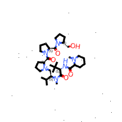 CC(C)[C@@H](CN1CCC[C@H]1C(=O)N1CCC[C@H]1C(=O)N1CCC[C@@H]1CO)N(C)C(=O)[C@@H](NC(=O)C1CCCCN1C)C(C)(C)C